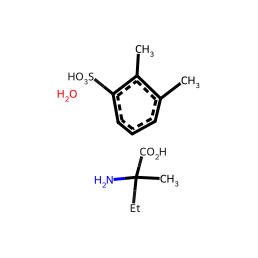 CCC(C)(N)C(=O)O.Cc1cccc(S(=O)(=O)O)c1C.O